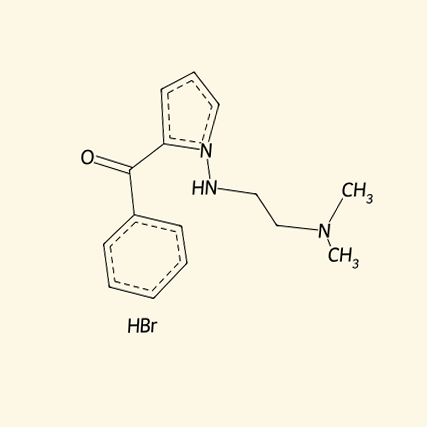 Br.CN(C)CCNn1cccc1C(=O)c1ccccc1